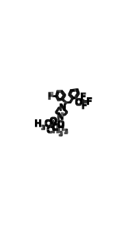 CC(C)(C)OC(=O)N1CCN(C(Cc2ccccc2OC(F)(F)F)c2cccc(F)c2)CC1